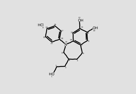 Cl.OCCC1CCc2cc(O)c(O)cc2N(c2ccccc2)C1